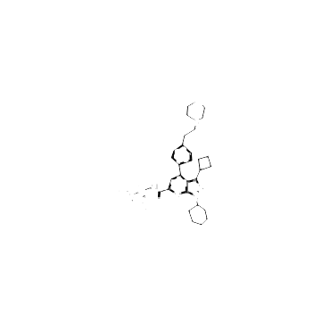 CN(C)S(=O)(=O)NC(=O)c1cc(-c2ccc(CCN3CCOCC3)cc2)c2c(C3CCC3)nn(C3CCCCC3)c2n1